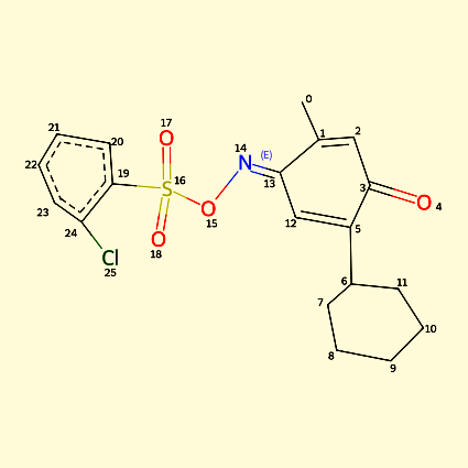 CC1=CC(=O)C(C2CCCCC2)=C/C1=N\OS(=O)(=O)c1ccccc1Cl